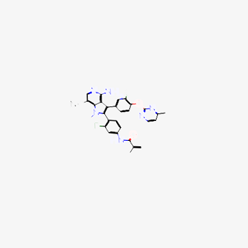 C=C(C)C(=O)Nc1ccc(-c2c(-c3ccc(Oc4nccc(C)n4)c(Cl)c3)c3c(N)ncc(C#N)c3n2C)c(F)c1